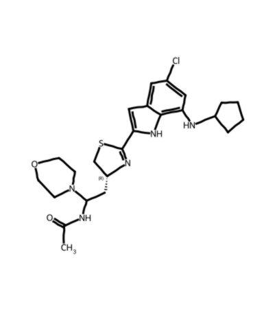 CC(=O)NC(C[C@@H]1CSC(c2cc3cc(Cl)cc(NC4CCCC4)c3[nH]2)=N1)N1CCOCC1